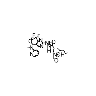 CCCCC[C@H](CN(O)C=O)C(=O)NNc1ncc(C(=O)N(C)c2ccccn2)c(C(F)(F)F)n1